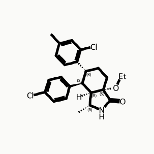 CCO[C@@]12CC[C@@H](c3ccc(C)cc3Cl)[C@H](c3ccc(Cl)cc3)[C@@H]1[C@@H](C)NC2=O